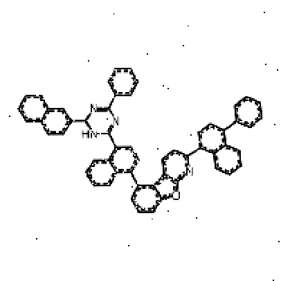 c1ccc(C2=NC(c3ccc4ccccc4c3)NC(c3ccc(-c4cccc5oc6nc(-c7ccc(-c8ccccc8)c8ccccc78)ccc6c45)c4ccccc34)=N2)cc1